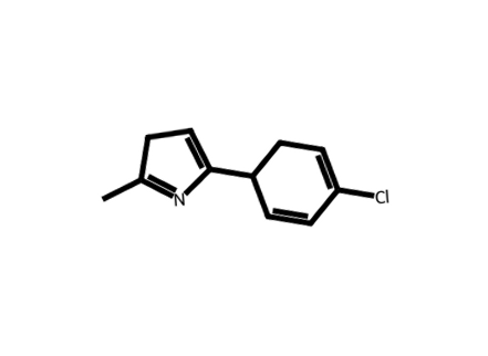 CC1=NC(C2C=CC(Cl)=CC2)=CC1